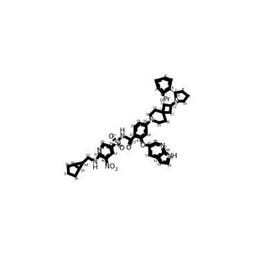 CC(C)c1ccccc1[C@@H]1CCCN1C1CC2(CCN(c3ccc(C(=O)NS(=O)(=O)c4cnc(NCC5C6CCCC65)c([N+](=O)[O-])c4)c(Oc4cnc5[nH]ccc5c4)c3)CC2)C1